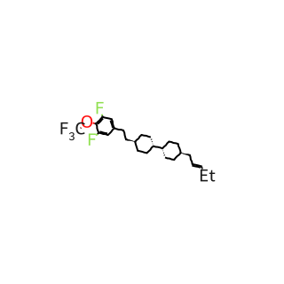 CC/C=C/C[C@H]1CC[C@H]([C@H]2CC[C@H](CCc3cc(F)c(OC(F)(F)F)c(F)c3)CC2)CC1